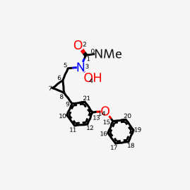 CNC(=O)N(O)CC1CC1c1cccc(Oc2ccccc2)c1